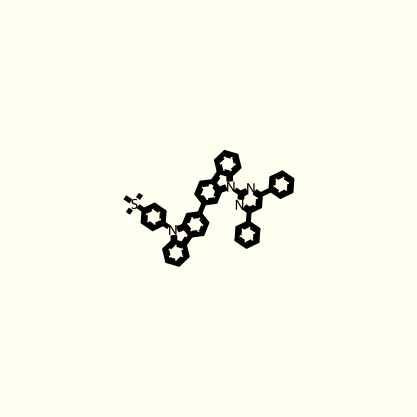 CS(C)(C)c1ccc(-n2c3ccccc3c3ccc(-c4ccc5c6ccccc6n(-c6nc(-c7ccccc7)cc(-c7ccccc7)n6)c5c4)cc32)cc1